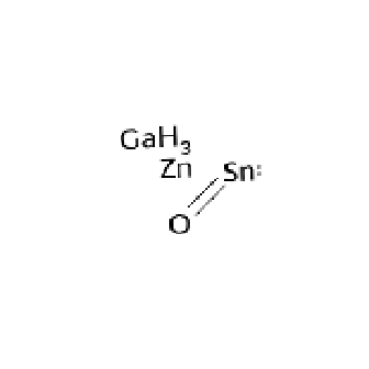 [GaH3].[O]=[Sn].[Zn]